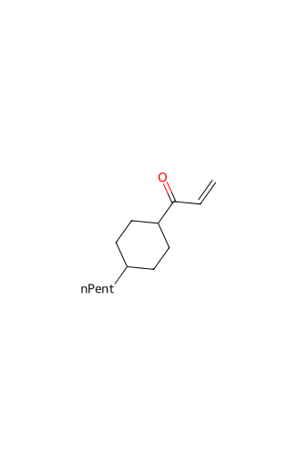 C=CC(=O)C1CCC(CCCCC)CC1